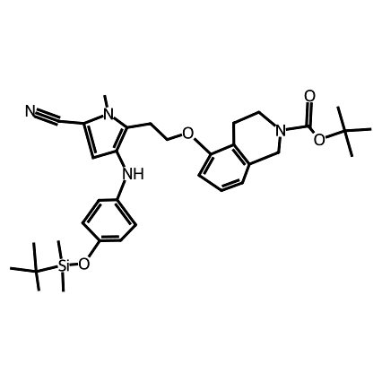 Cn1c(C#N)cc(Nc2ccc(O[Si](C)(C)C(C)(C)C)cc2)c1CCOc1cccc2c1CCN(C(=O)OC(C)(C)C)C2